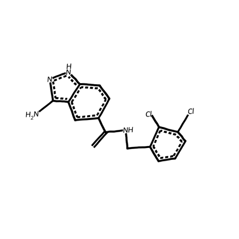 C=C(NCc1cccc(Cl)c1Cl)c1ccc2[nH]nc(N)c2c1